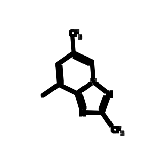 Cc1cc(C(F)(F)F)cn2nc(C(F)(F)F)nc12